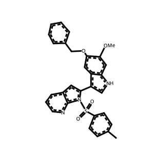 COc1cc2[nH]cc(-c3cc4cccnc4n3S(=O)(=O)c3ccc(C)cc3)c2cc1OCc1ccccc1